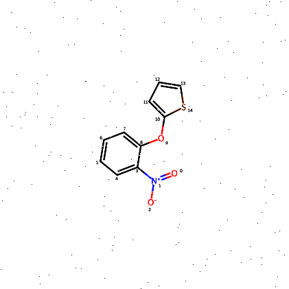 O=[N+]([O-])c1ccccc1Oc1cccs1